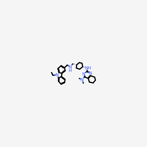 CCn1c2ccccc2c2cc(CNC[C@H]3CC[C@@H](Nc4nc5c(c(N(C)C)n4)CCCC5)CC3)ccc21